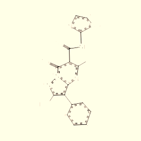 Cc1[nH]c2c(-c3ccccc3)c(C(F)(F)F)nn2c(=O)c1C(=O)Nc1nccs1